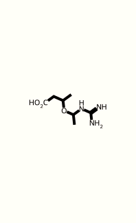 CC(CC(=O)O)OC(C)NC(=N)N